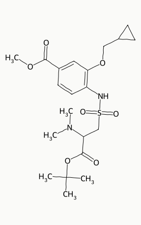 COC(=O)c1ccc(NS(=O)(=O)CC(C(=O)OC(C)(C)C)N(C)C)c(OCC2CC2)c1